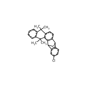 CC1(C)c2ccccc2C(C)(C)c2c1ccc1c2C2OC1c1ccc(Cl)cc12